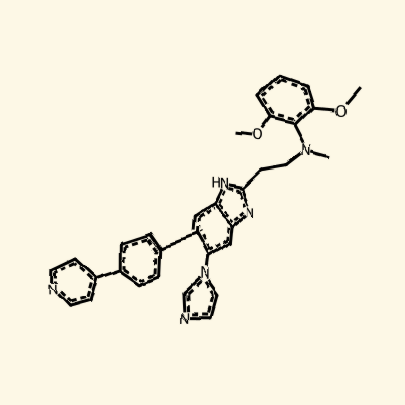 COc1cccc(OC)c1N(C)CCc1nc2cc(-n3ccnc3)c(-c3ccc(-c4ccncc4)cc3)cc2[nH]1